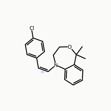 CC1(C)OCCN(/C=C\c2ccc(Cl)cc2)c2ccccc21